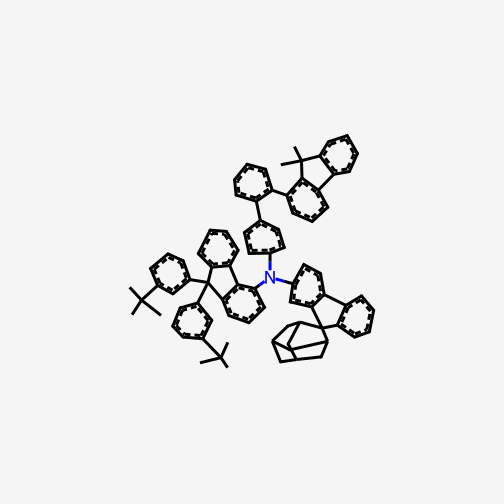 CC(C)(C)c1cccc(C2(c3cccc(C(C)(C)C)c3)c3ccccc3-c3c(N(c4ccc(-c5ccccc5-c5cccc6c5C(C)(C)c5ccccc5-6)cc4)c4ccc5c(c4)C4(c6ccccc6-5)C5CC6CC(C5)CC4C6)cccc32)c1